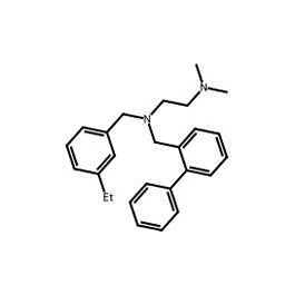 CCc1cccc(CN(CCN(C)C)Cc2ccccc2-c2ccccc2)c1